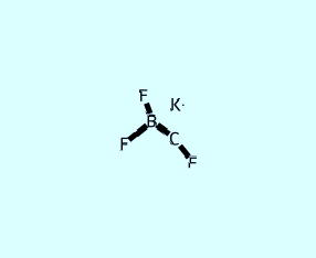 FCB(F)F.[K]